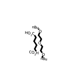 CCCCOCCOCCOCCCC.O=C(O)CCCCC(=O)O